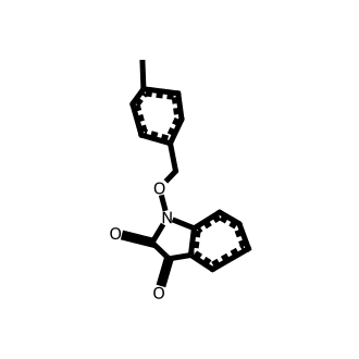 Cc1ccc(CON2C(=O)C(=O)c3ccccc32)cc1